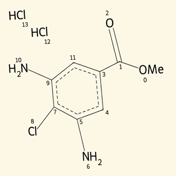 COC(=O)c1cc(N)c(Cl)c(N)c1.Cl.Cl